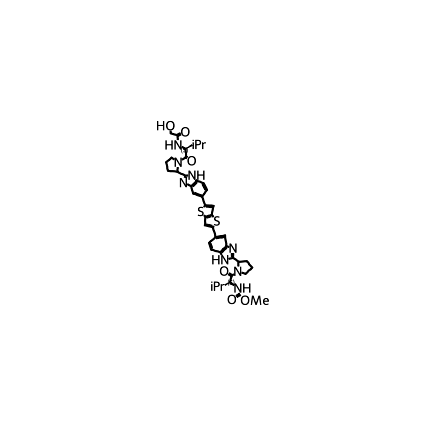 COC(=O)N[C@H](C(=O)N1CCCC1c1nc2cc(-c3cc4sc(-c5ccc6[nH]c(C7CCCN7C(=O)[C@@H](NC(=O)CO)C(C)C)nc6c5)cc4s3)ccc2[nH]1)C(C)C